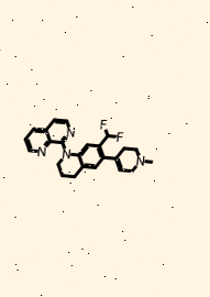 CN1CC=C(c2cc3c(cc2C(F)F)N(c2nccc4cccnc24)CCC3)CC1